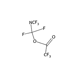 O=C(OC(F)(F)NC(F)(F)F)C(F)(F)F